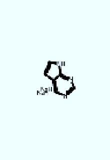 [NaH].[NaH].c1ncc2cc[nH]c2n1